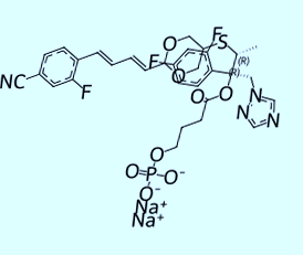 C[C@@H](SC1COC(C=CC=Cc2ccc(C#N)cc2F)OC1)[C@@](Cn1cncn1)(OC(=O)CCCOP(=O)([O-])[O-])c1ccc(F)cc1F.[Na+].[Na+]